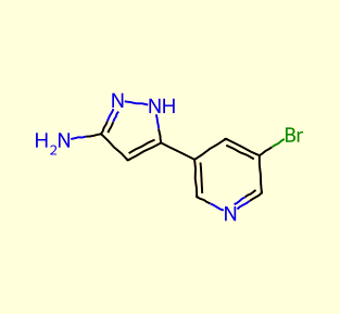 Nc1cc(-c2cncc(Br)c2)[nH]n1